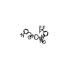 CN(C)c1cccc(CC(=O)N2CCC(N(N=O)N3c4cccc(C(F)(F)F)c43)CC2)c1